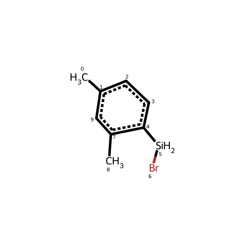 Cc1ccc([SiH2]Br)c(C)c1